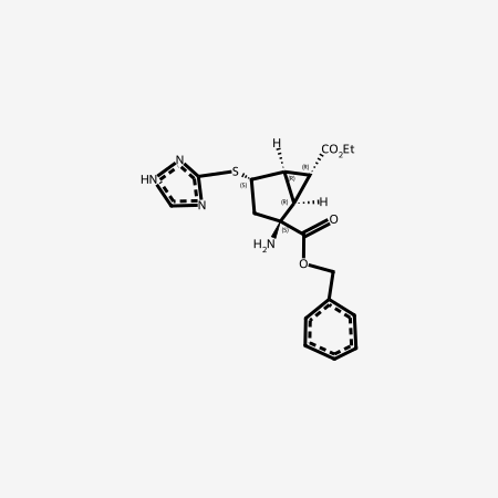 CCOC(=O)[C@H]1[C@H]2[C@@H]1[C@](N)(C(=O)OCc1ccccc1)C[C@@H]2Sc1nc[nH]n1